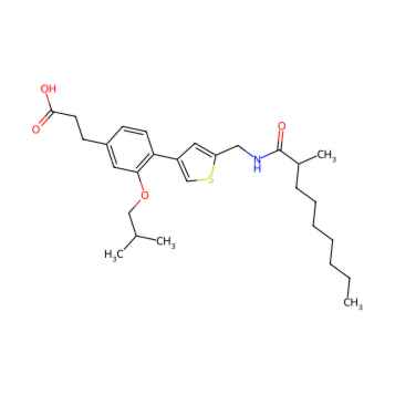 CCCCCCCC(C)C(=O)NCc1cc(-c2ccc(CCC(=O)O)cc2OCC(C)C)cs1